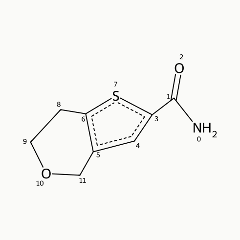 NC(=O)c1cc2c(s1)CCOC2